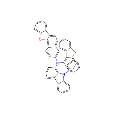 c1ccc(-n2c3ccccc3c3cccc(N(c4ccc5c(ccc6c7ccccc7oc56)c4)c4cccc5sc6ccccc6c45)c32)cc1